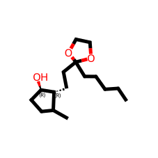 CCCCCC1(CC[C@@H]2C(C)CC[C@H]2O)OCCO1